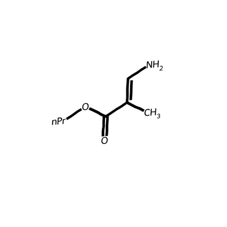 CCCOC(=O)C(C)=CN